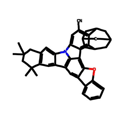 CC1(C)Cc2cc3c(cc2C(C)(C)C1)c1cc2c4ccccc4oc2c2c4c5c(c(C#N)cc4n3c12)C1CC2CC(C1)CC5C2